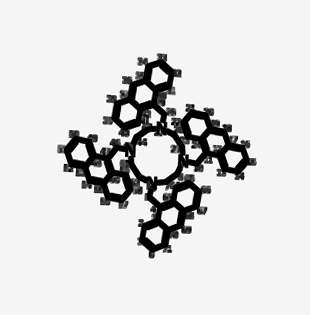 c1ccc2c(CN3CCN(Cc4c5ccccc5cc5ccccc45)CCN(Cc4c5ccccc5cc5ccccc45)CCN(Cc4c5ccccc5cc5ccccc45)CC3)c3ccccc3cc2c1